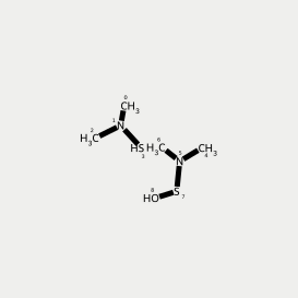 CN(C)S.CN(C)SO